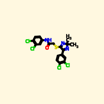 CC1(C)N=C(SCC(=O)Nc2ccc(Cl)c(Cl)c2)C(c2ccc(Cl)c(Cl)c2)=N1